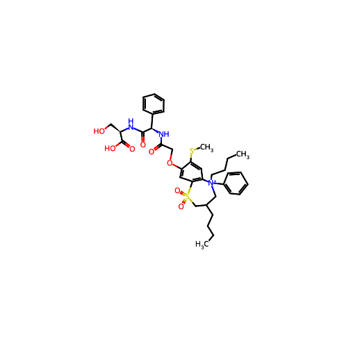 CCCCC1C[N+](CCCC)(c2ccccc2)c2cc(SC)c(OCC(=O)N[C@@H](C(=O)N[C@H](CO)C(=O)O)c3ccccc3)cc2S(=O)(=O)C1